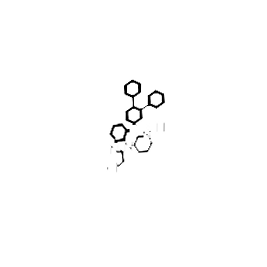 CN1CCCCC1=O.ClCc1nc2ccccc2[nH]1.c1ccc(-c2ccccc2-c2ccccc2)cc1